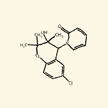 CC1(C)Oc2ccc(Cl)cc2C(n2ccccc2=O)C1(C)O